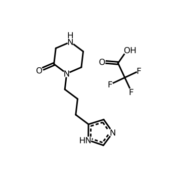 O=C(O)C(F)(F)F.O=C1CNCCN1CCCc1cnc[nH]1